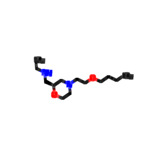 CC(C)(C)CCCOCCN1CCO[C@@H](CNCC(C)(C)C)C1